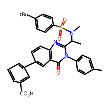 Cc1ccc(-n2c(C(C)N(C)S(=O)(=O)c3ccc(C(C)(C)C)cc3)nc3ccc(-c4cccc(C(=O)O)c4)cc3c2=O)cc1